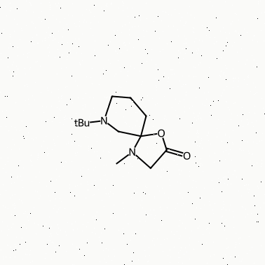 CN1CC(=O)OC12CCCN(C(C)(C)C)C2